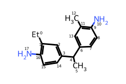 CCc1cc(C(C)c2ccc(N)c(C)c2)ccc1N